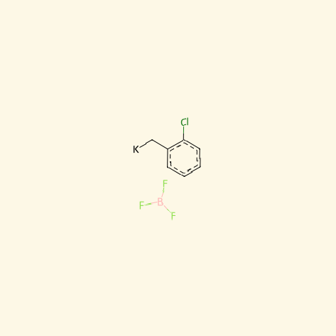 Clc1ccccc1[CH2][K].FB(F)F